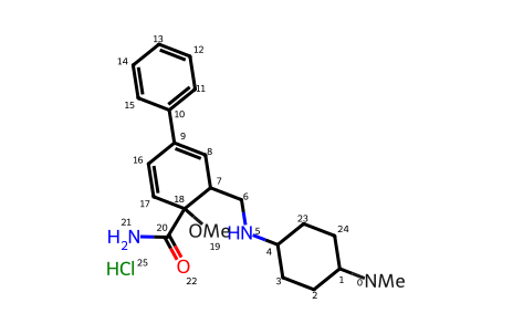 CNC1CCC(NCC2C=C(c3ccccc3)C=CC2(OC)C(N)=O)CC1.Cl